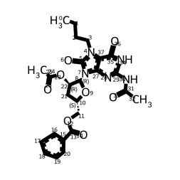 CCCCn1c(=O)n([C@@H]2O[C@H](COC(=O)c3ccccc3)C[C@H]2OC(C)=O)c2nc(NC(C)=O)[nH]c(=O)c21